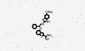 COc1ccc2[nH]c(OCC(Oc3cccc4sc(C(=N)N)cc34)c3ccccc3)nc2c1